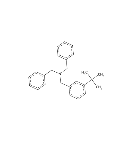 CC(C)(C)c1cccc(CN(Cc2ccccc2)Cc2ccccc2)c1